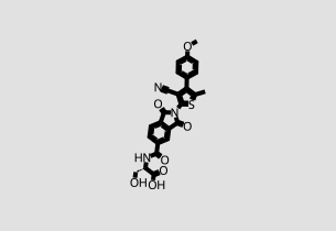 COc1ccc(-c2c(C)sc(N3C(=O)c4ccc(C(=O)N[C@@H](CO)C(=O)O)cc4C3=O)c2C#N)cc1